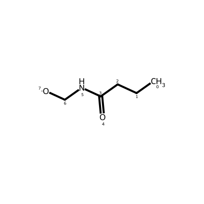 CCCC(=O)NC[O]